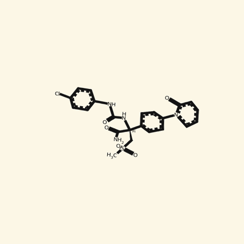 CS(=O)(=O)C[C@](NC(=O)Nc1ccc(Cl)cc1)(C(N)=O)c1ccc(-n2ccccc2=O)cc1